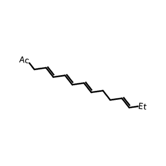 CCC=CCCC=CC=CC=CCC(C)=O